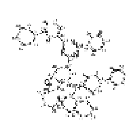 c1ccc(-c2ccc(N(c3cccc4ccccc34)c3cc(-c4nc(-c5ccccc5)nc(-c5cccc(-c6ccccc6)c5)n4)cc4oc5ccccc5c34)cc2)cc1